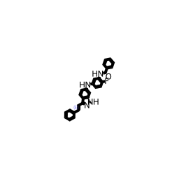 O=C(Nc1cc(Nc2ccc3c(/C=C/c4ccccc4)n[nH]c3c2)ccc1F)c1ccccc1